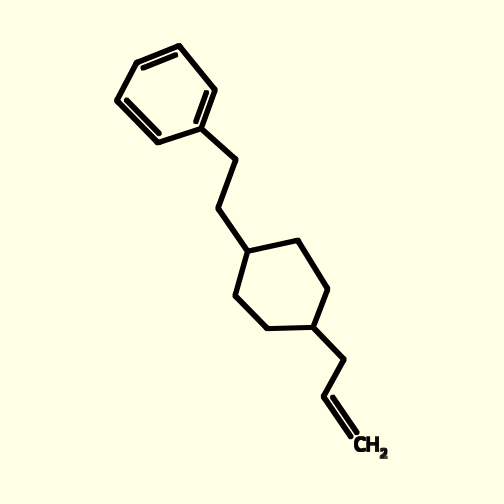 C=CCC1CCC(CCc2ccccc2)CC1